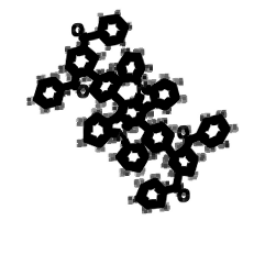 O=C(c1ccccc1)c1ccc(C(=O)c2ccccc2)c(-c2ccc(-c3c4c5ccccc5n(-c5ccccc5)c4c(-c4ccc(-c5cc(C(=O)c6ccccc6)ccc5C(=O)c5ccccc5)cc4)c4c5ccccc5n(-c5ccccc5)c34)cc2)c1